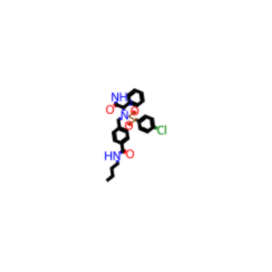 CCCCNC(=O)c1ccc(CN(C(C(N)=O)c2ccccc2)S(=O)(=O)c2ccc(Cl)cc2)cc1